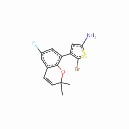 CC1(C)C=Cc2cc(F)cc(-c3cc(N)sc3Br)c2O1